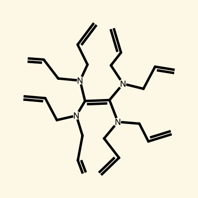 C=CCN(CC=C)C(=C(N(CC=C)CC=C)N(CC=C)CC=C)N(CC=C)CC=C